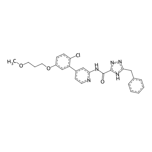 COCCCOc1ccc(Cl)c(-c2ccnc(NC(=O)c3nnc(Cc4ccccc4)[nH]3)c2)c1